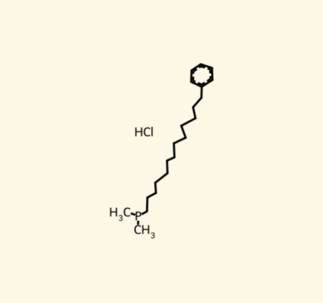 CP(C)CCCCCCCCCCCCCc1ccccc1.Cl